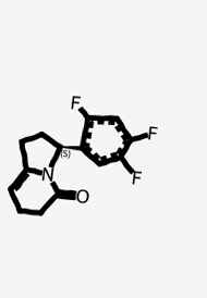 O=C1CCC=C2CC[C@@H](c3cc(F)c(F)cc3F)N12